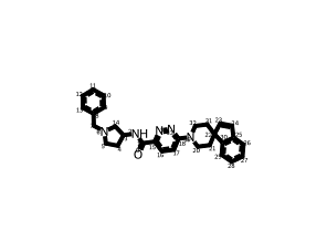 O=C(NC1CCN(Cc2ccccc2)C1)c1ccc(N2CCC3(C=Cc4ccccc43)CC2)nn1